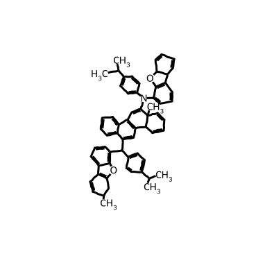 CC1C=Cc2c(oc3c(C(c4ccc(C(C)C)cc4)c4cc5c(c6ccccc46)C=C(N(c4ccc(C(C)C)cc4)c4cccc6c4OC4C=CC=CC64)C4(C)C=CC=CC54)cccc23)C1